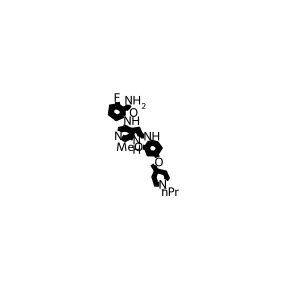 CCCN1CCC(COc2ccc(Nc3cc4c(Nc5cccc(F)c5C(N)=O)cncc4[nH]3)c(OC)c2)CC1